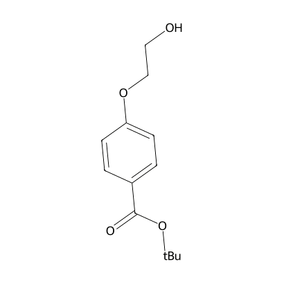 CC(C)(C)OC(=O)c1ccc(OCCO)cc1